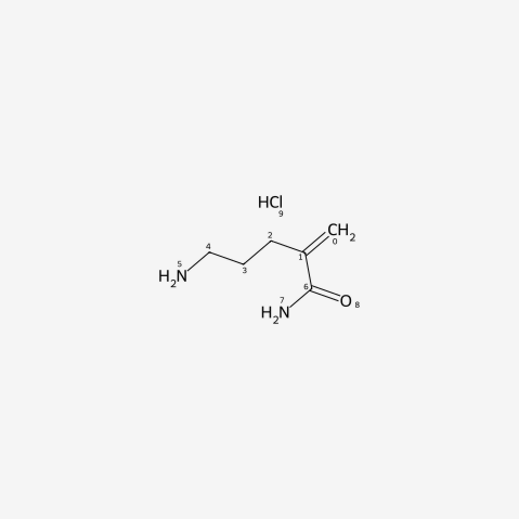 C=C(CCCN)C(N)=O.Cl